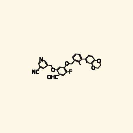 Cc1c(COc2cc(OCc3cncc(C#N)c3)c(C=O)cc2F)cccc1-c1ccc2c(c1)OCCO2